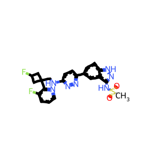 CS(=O)(=O)Nc1n[nH]c2ccc(-c3ccc(NCC4(c5ncccc5F)CC(F)C4)nn3)cc12